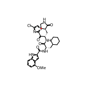 COc1cccc2[nH]c(C(=O)N[C@@H](CC3CCCCC3)C(=O)N[C@@H](C[C@H]3CCNC3=O)C(=O)c3nc(Cl)cs3)cc12